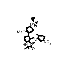 COc1cc(OS(=O)(=O)C2CC2)ccc1-c1ccc2c(c1COc1cc([N+](=O)[O-])ccc1C)N(C)C(=O)C(C)(C)N2